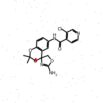 CC1(C)Oc2ccc(NC(=O)c3ccncc3Cl)cc2C2(COC(N)=N2)C12COC2